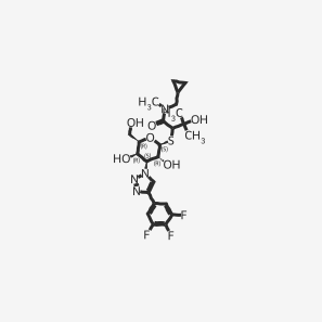 CN(CC1CC1)C(=O)C(S[C@@H]1O[C@H](CO)[C@H](O)[C@H](n2cc(-c3cc(F)c(F)c(F)c3)nn2)[C@H]1O)C(C)(C)O